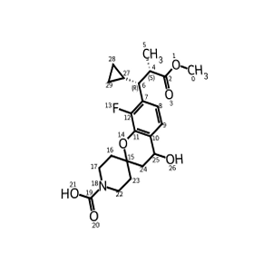 COC(=O)[C@@H](C)[C@H](c1ccc2c(c1F)OC1(CCN(C(=O)O)CC1)CC2O)C1CC1